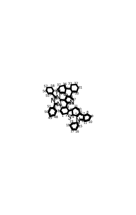 C1=CC2SC3c4c(c5ccccc5n4-c4ccccc4)C=CC3C2C(c2ncc(C3=CCCCC3C3=CCCC=C3)cc2C2N=C(c3ccccc3)N=C(C3=CCCCC3)N2)=C1